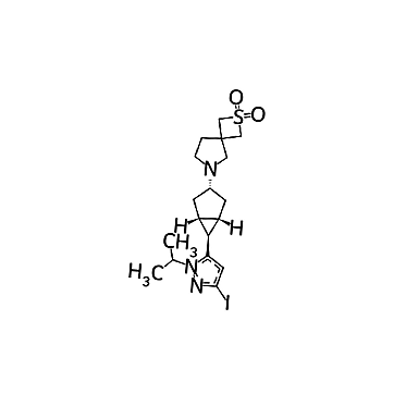 CC(C)n1nc(I)cc1[C@H]1[C@@H]2C[C@H](N3CCC4(C3)CS(=O)(=O)C4)C[C@@H]21